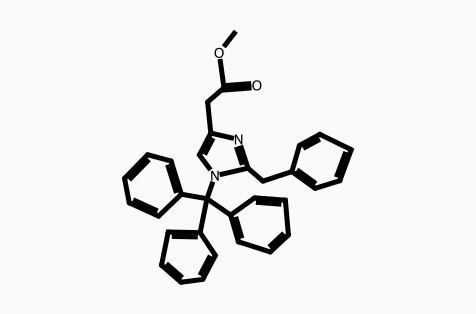 COC(=O)Cc1cn(C(c2ccccc2)(c2ccccc2)c2ccccc2)c(Cc2ccccc2)n1